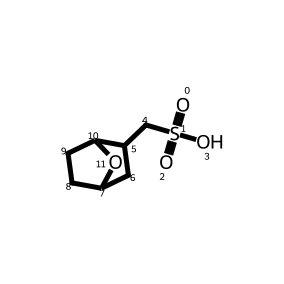 O=S(=O)(O)CC1CC2CCC1O2